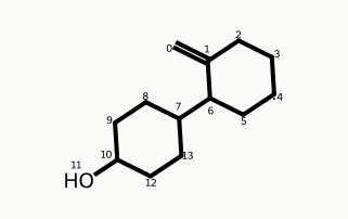 C=C1CC[CH]CC1C1CCC(O)CC1